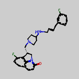 O=c1ccc2ccc(F)c3c2n1C[C@H]3CN1CCC(NCC=Cc2cccc(F)c2)CC1